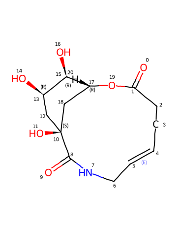 O=C1CC/C=C/CNC(=O)[C@]2(O)C[C@@H](O)[C@@H](O)[C@@H](C2)O1